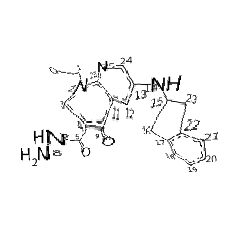 CCn1cc(C(=O)NN)c(=O)c2cc(NC3Cc4ccccc4C3)cnc21